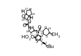 CC(C)(C)C#Cc1cc(N(C(=O)[C@H]2CC[C@H](C)CC2)[C@H]2CCN(C(=O)O[C@H]3CO[C@H]4CCC[C@H]43)C2)c(C(=O)O)s1